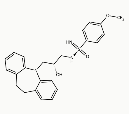 N=[S@](=O)(NC[C@H](O)CN1c2ccccc2CCc2ccccc21)c1ccc(OC(F)(F)F)cc1